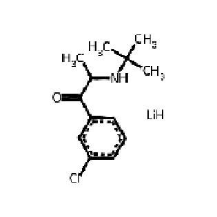 CC(NC(C)(C)C)C(=O)c1cccc(Cl)c1.[LiH]